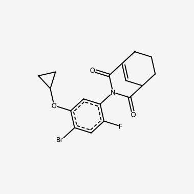 O=C1C2=CC(CCC2)C(=O)N1c1cc(OC2CC2)c(Br)cc1F